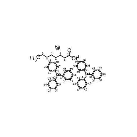 CCCCCCCC(=O)O.[Ni].c1ccc(P(c2ccccc2)c2ccccc2)cc1.c1ccc(P(c2ccccc2)c2ccccc2)cc1